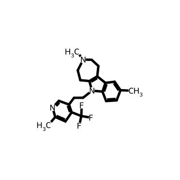 Cc1ccc2c(c1)c1c(n2CCc2cnc(C)cc2C(F)(F)F)CCN(C)CC1